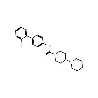 O=C(Nc1ccc(-c2ccccc2F)cc1)N1CCC(N2CCCCC2)CC1